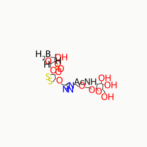 B[C@@H]1O[C@@H]2CO[P@](=O)(O[C@@H]3CSSC[C@H]3OCc3cn(CCOCCO[C@H]4O[C@H](CO)[C@H](O)[C@H](O)[C@H]4NC(C)=O)nn3)O[C@H]2[C@@]1(C)O